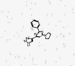 c1ccc(-c2nc(-c3c[nH]nn3)cc(N3CCCC3)n2)cc1